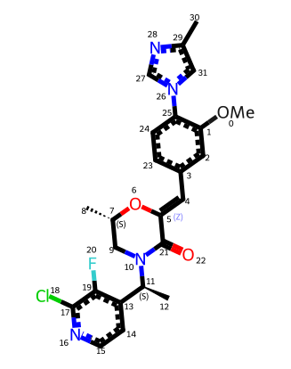 COc1cc(/C=C2\O[C@@H](C)CN([C@@H](C)c3ccnc(Cl)c3F)C2=O)ccc1-n1cnc(C)c1